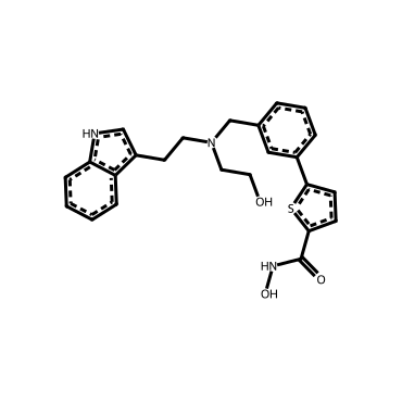 O=C(NO)c1ccc(-c2cccc(CN(CCO)CCc3c[nH]c4ccccc34)c2)s1